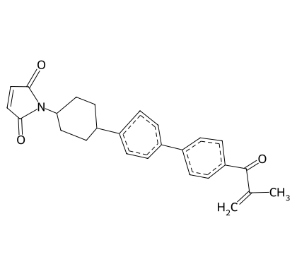 C=C(C)C(=O)c1ccc(-c2ccc(C3CCC(N4C(=O)C=CC4=O)CC3)cc2)cc1